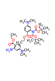 CCOC(=O)c1ccc(N(C)C)cc1N.CCOC(=O)c1ccc(N(C)C)cc1N(C(=O)OC(C)(C)C)C(=O)OC(C)(C)C